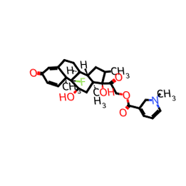 CC1C[C@H]2[C@@H]3CCC4=CC(=O)C=C[C@]4(C)[C@@]3(F)C(O)C[C@]2(C)[C@@]1(O)C(=O)COC(=O)C1=CC=CN(C)C1